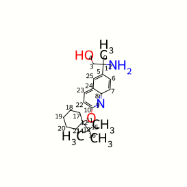 CC(N)(CO)c1ccc2nc(OC3(C(C)(C)C)CCCCC3)ccc2c1